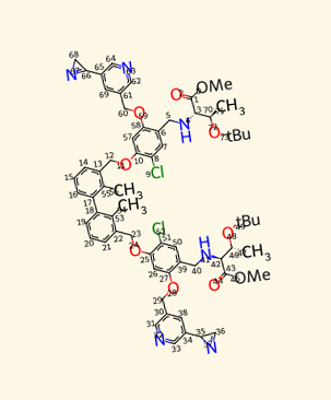 COC(=O)[C@@H](NCc1cc(Cl)c(OCc2cccc(-c3cccc(COc4cc(OCc5cncc(C6C=N6)c5)c(CN[C@H](C(=O)OC)[C@@H](C)OC(C)(C)C)cc4Cl)c3C)c2C)cc1OCc1cncc(C2=NC2)c1)[C@@H](C)OC(C)(C)C